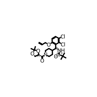 C=CCOc1ccc(Cl)c(Cl)c1[C@H](N[S@@+]([O-])C(C)(C)C)C1CCN(C(=O)[C@H]2COC(C)(C)O2)CC1